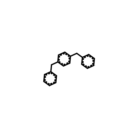 [c]1ccc(Cc2ccc(Cc3cc[c]cc3)cc2)cc1